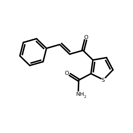 NC(=O)c1sccc1C(=O)C=Cc1ccccc1